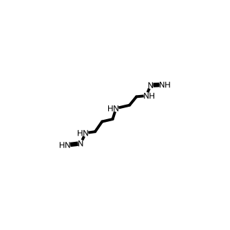 N=NNCCCNCCNN=N